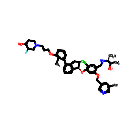 Cc1c(OCCCN2CC[C@H](O)[C@H](F)C2)cccc1-c1cccc2c1CC[C@@H]2Oc1cc(OCc2cncc(C#N)c2)c(CN[C@H](C(=O)O)[C@@H](C)O)cc1Cl